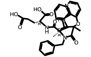 CC1(C(=O)N(Cc2ccccc2)[C@](C)(Cc2ccccc2)C(=O)N[C@H](CCC(=O)O)C(=O)O)Oc2cccnc2NC1=O